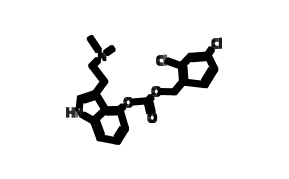 CN(C)CCc1c[nH]c2cccc(OC(=O)OCc3ccc(Cl)cc3Cl)c12